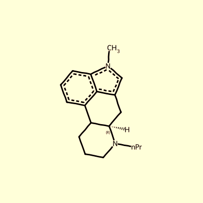 CCCN1CCCC2c3cccc4c3c(cn4C)C[C@H]21